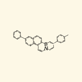 Cc1ccc(C2=CB3c4ccc5cc(-c6ccccc6)ccc5c4C=CN3C=C2)cc1